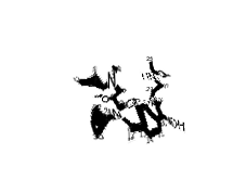 CCCN(C)CC(OC)C(=O)N(Cc1ccc2c(O)cn(CCNC(C)=O)c2c1)C1CC1